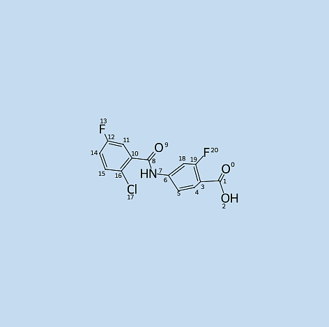 O=C(O)c1ccc(NC(=O)c2cc(F)ccc2Cl)cc1F